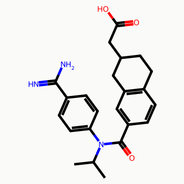 CC(C)N(C(=O)c1ccc2c(c1)CC(CC(=O)O)CC2)c1ccc(C(=N)N)cc1